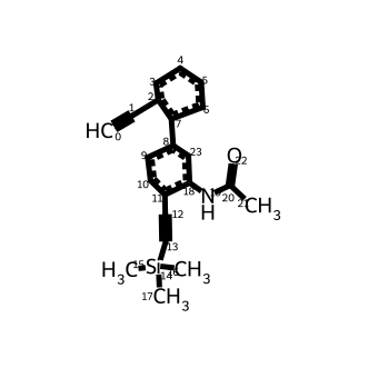 C#Cc1ccccc1-c1ccc(C#C[Si](C)(C)C)c(NC(C)=O)c1